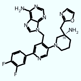 Nc1ncnc2c1ncn2Cc1cc(-c2ccc(F)c(F)c2)ncc1N1CCC[C@](N)(Cc2ncco2)C1